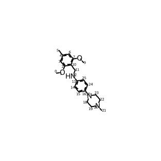 COc1cc(C)cc(OC)c1CNc1ccc(N2CCN(C)CC2)cc1